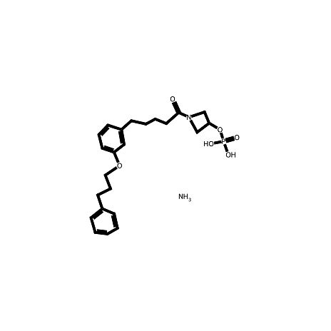 N.O=C(CCCCc1cccc(OCCCc2ccccc2)c1)N1CC(OP(=O)(O)O)C1